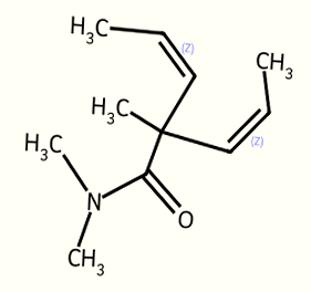 C/C=C\C(C)(/C=C\C)C(=O)N(C)C